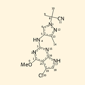 COc1nc(Nc2cn(C(C)(C)C#N)nc2C)nc2[nH]cc(Cl)c12